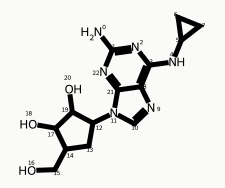 Nc1nc(NC2CC2)c2ncn(C3CC(CO)C(O)C3O)c2n1